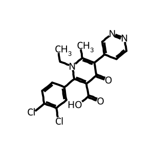 CCn1c(C)c(-c2ccnnc2)c(=O)c(C(=O)O)c1-c1ccc(Cl)c(Cl)c1